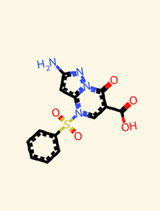 Nc1cc2n(S(=O)(=O)c3ccccc3)cc(C(=O)O)c(=O)n2n1